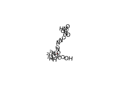 [2H]c1c([2H])c([2H])c([C@@H]2CCc3cc(O)ccc3[C@@H]2c2ccc(N3CCC(CN4CCN(c5ccc6c(c5)CN([C@H]5CCC(=O)NC5=O)C6=O)CC4)CC3)cc2)c([2H])c1[2H]